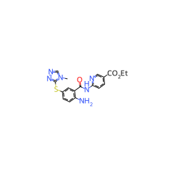 CCOC(=O)c1ccc(NC(=O)c2cc(Sc3nncn3C)ccc2N)nc1